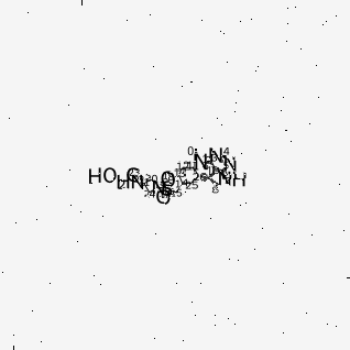 CN(c1ncnc2[nH]ccc12)[C@H]1CC[C@H](CS(=O)(=O)N2CC(NC(=O)O)C2)CC1